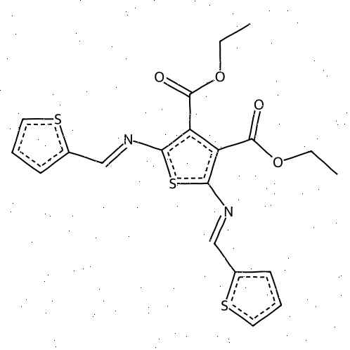 CCOC(=O)c1c(N=Cc2cccs2)sc(N=Cc2cccs2)c1C(=O)OCC